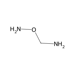 NCON